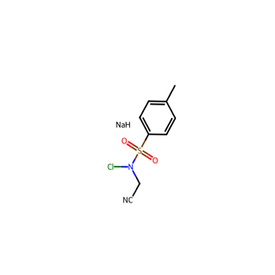 Cc1ccc(S(=O)(=O)N(Cl)CC#N)cc1.[NaH]